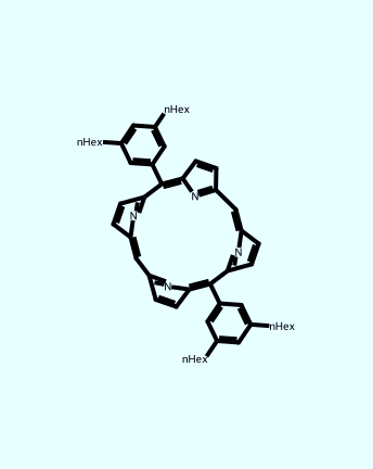 CCCCCCc1cc(CCCCCC)cc(C2=C3C=CC(=N3)C=C3C=CC(=N3)C(c3cc(CCCCCC)cc(CCCCCC)c3)=C3C=CC(=N3)C=C3C=CC2=N3)c1